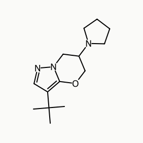 CC(C)(C)c1cnn2c1OCC(N1CCCC1)C2